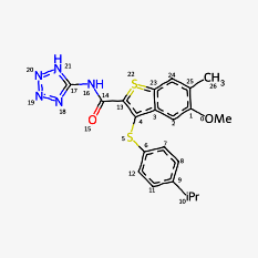 COc1cc2c(Sc3ccc(C(C)C)cc3)c(C(=O)Nc3nnn[nH]3)sc2cc1C